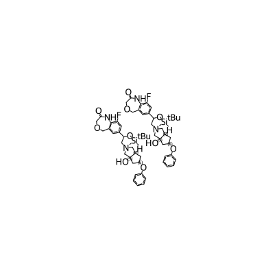 CC(C)(C)[Si](C)(C)OC(CN1C[C@H]2C[C@H](Oc3ccccc3)C[C@@]2(O)C1)c1cc(F)c2c(c1)COCC(=O)N2.CC(C)(C)[Si](C)(C)OC(CN1C[C@H]2C[C@H](Oc3ccccc3)C[C@@]2(O)C1)c1cc(F)c2c(c1)COCC(=O)N2